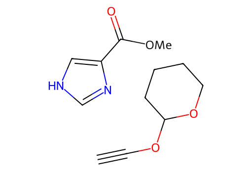 C#COC1CCCCO1.COC(=O)c1c[nH]cn1